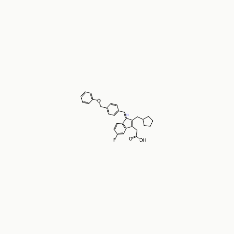 O=C(O)CC1=C(CC2CCCC2)/C(=C/c2ccc(COc3ccccc3)cc2)c2ccc(F)cc21